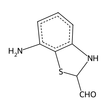 Nc1cccc2c1SC(C=O)N2